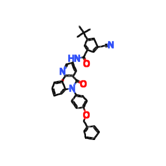 Cc1ncc(NC(=O)c2cc(C#N)cc(C(C)(C)C)c2)cc1C(=O)N(c1ccccc1)c1ccc(OCc2ccccc2)cc1